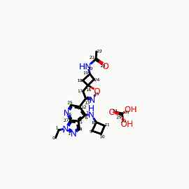 CCn1ncc2c(NC3CCC3)c(C3=NOC4(C3)CC(NC(C)=O)C4)cnc21.O=C(O)O